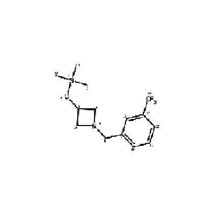 C[Si](C)(C)OC1CN(Cc2cccc(C(F)(F)F)c2)C1